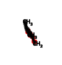 C=CC(=O)OCCCCOc1ccc(C(=O)Oc2ccc(C(=O)Oc3ccc(CCCCCCCCCC)cc3)cc2C)cc1